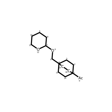 CC(=O)C12CCC(COC3CCCCO3)(CC1)CC2